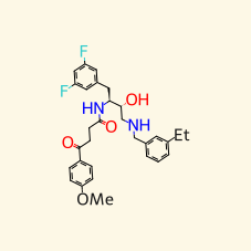 CCc1cccc(CNC[C@@H](O)[C@H](Cc2cc(F)cc(F)c2)NC(=O)CCC(=O)c2ccc(OC)cc2)c1